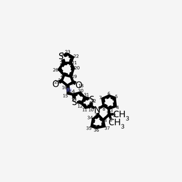 CC1(C)c2ccccc2N(c2cc3sc(/C=C4\C(=O)c5cc6ccsc6cc5C4=O)cc3s2)c2ccccc21